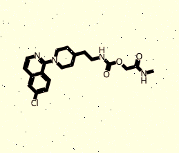 CNC(=O)COC(=O)NCCC1CCN(c2nccc3cc(Cl)ccc23)CC1